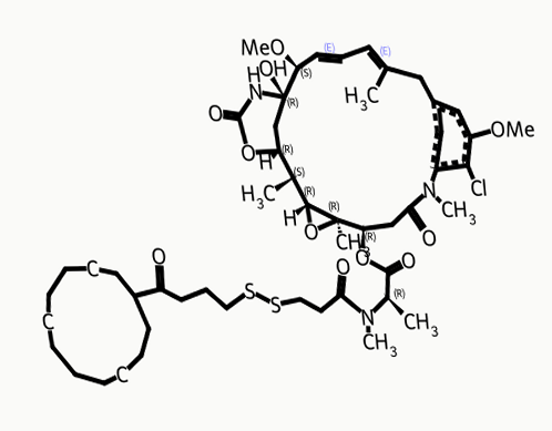 COc1cc2cc(c1Cl)N(C)C(=O)C[C@@H](OC(=O)[C@@H](C)N(C)C(=O)CCSSCCCC(=O)C1CCCCCCCCCCC1)[C@@]1(C)O[C@@H]1[C@@H](C)[C@H]1C[C@](O)(NC(=O)O1)[C@@H](OC)/C=C/C=C(\C)C2